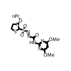 CCCON1CCSC1S(=O)(=O)N=NC(=O)Nc1nc(OC)cc(OC)n1